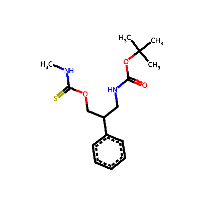 CNC(=S)OCC(CNC(=O)OC(C)(C)C)c1ccccc1